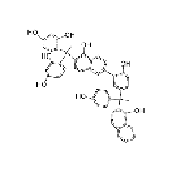 CC(c1ccc(O)cc1)(c1ccc(O)c(-c2ccc3c(O)c(C(C)(c4ccc(O)cc4O)c4ccc(O)cc4O)ccc3c2)c1)c1ccc2ccccc2c1O